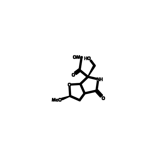 COC(=O)[C@]1(CO)NC(=O)C2C[C@@H](OC)OC21